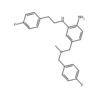 CN(Cc1ccc(F)cc1)Cc1ccc(N)c(NCCc2ccc(F)cc2)c1